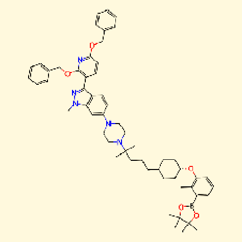 Cc1c(O[C@H]2CC[C@H](CCCC(C)(C)N3CCN(c4ccc5c(-c6ccc(OCc7ccccc7)nc6OCc6ccccc6)nn(C)c5c4)CC3)CC2)cccc1B1OC(C)(C)C(C)(C)O1